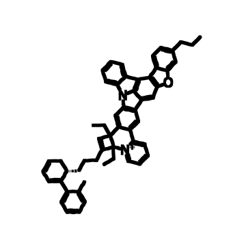 CCCc1ccc2c(c1)oc1cc3c4cc5c(cc4n4c6ccccc6c(c12)c34)C1(CC)C=C(CCC[C@H]2CC=CC=C2c2ccccc2C)C1(CC)[n+]1ccccc1-5